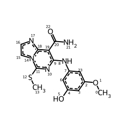 COc1cc(O)cc(Nc2nc(SC)n3ccnc3c2C(N)=O)c1